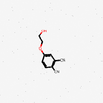 N#Cc1ccc(OCCO)cc1C#N